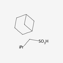 C1CC2CC(C1)C2.CC(C)CS(=O)(=O)O